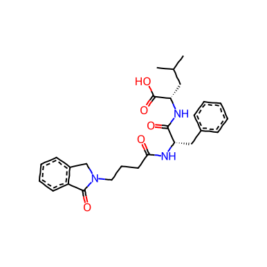 CC(C)C[C@H](NC(=O)[C@H](Cc1ccccc1)NC(=O)CCCN1Cc2ccccc2C1=O)C(=O)O